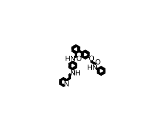 O=C(COc1ccc(-c2ccccc2C(=O)Nc2ccc(NCCc3ccccn3)cc2)cc1)Nc1ccccc1